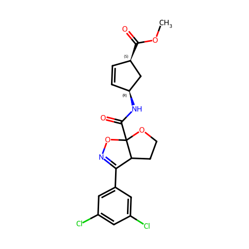 COC(=O)[C@@H]1C=C[C@H](NC(=O)C23OCCC2C(c2cc(Cl)cc(Cl)c2)=NO3)C1